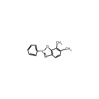 Cc1ccc2n[13c](-c3ccccc3)oc2c1C